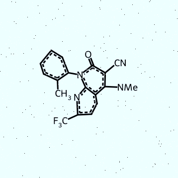 CNc1c(C#N)c(=O)n(-c2ccccc2C)c2nc(C(F)(F)F)ccc12